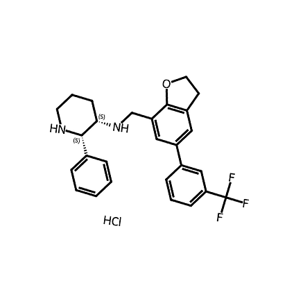 Cl.FC(F)(F)c1cccc(-c2cc3c(c(CN[C@H]4CCCN[C@H]4c4ccccc4)c2)OCC3)c1